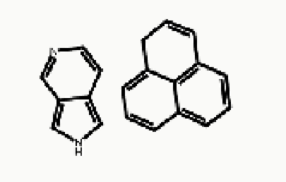 C1=Cc2cccc3cccc(c23)C1.c1cc2c[nH]cc2cn1